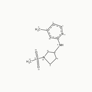 Cc1ccnc(NC2CCN(S(C)(=O)=O)C2)c1